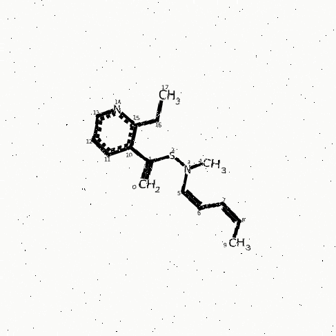 C=C(SN(C)/C=C\C=C/C)c1cccnc1CC